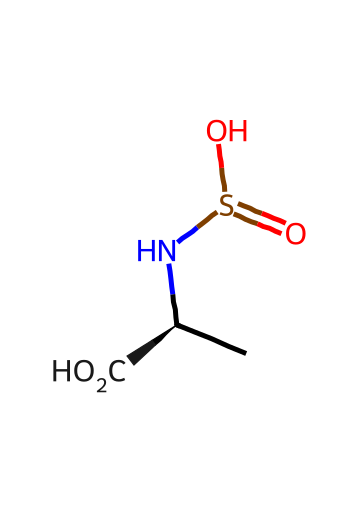 C[C@H](NS(=O)O)C(=O)O